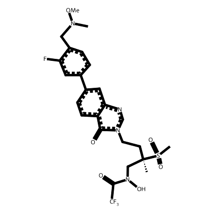 CON(C)Cc1ccc(-c2ccc3c(=O)n(CC[C@](C)(CN(O)C(=O)C(F)(F)F)S(C)(=O)=O)cnc3c2)cc1F